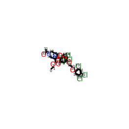 CCOC(=O)C1=C(c2ccc(OCCOc3cc(Cl)c(Cl)cc3Cl)cc2)CC2CN(C(C)=O)CC1N2C(=O)OC(C)(C)C(Cl)(Cl)Cl